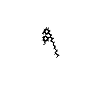 CCCCCCCCCCC(Cc1cccc(C)c1)c1cccc(C)c1